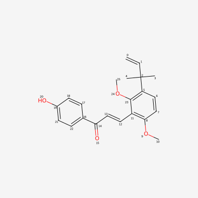 C=CC(C)(C)c1ccc(OC)c(C=CC(=O)c2ccc(O)cc2)c1OC